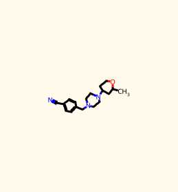 CC1CC(N2CCN(Cc3ccc(C#N)cc3)CC2)CCO1